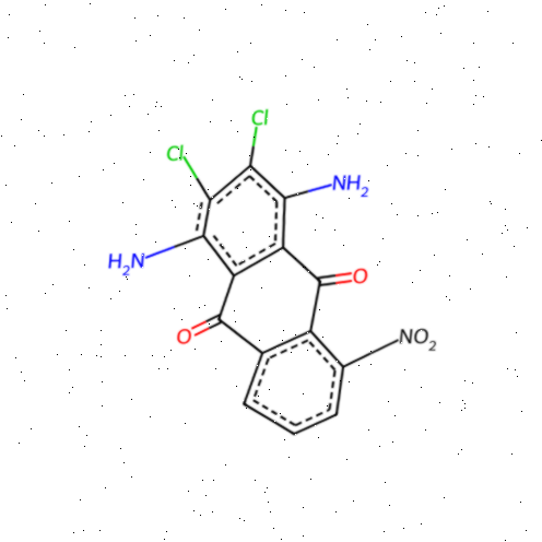 Nc1c(Cl)c(Cl)c(N)c2c1C(=O)c1cccc([N+](=O)[O-])c1C2=O